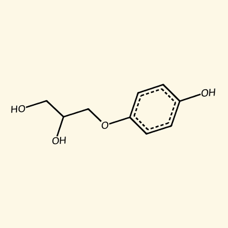 OCC(O)COc1ccc(O)cc1